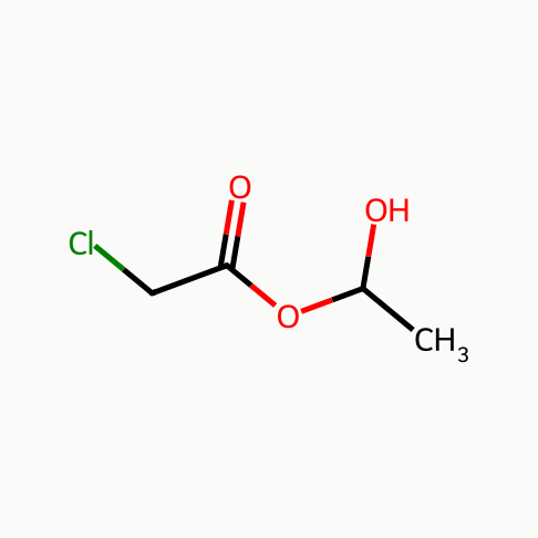 CC(O)OC(=O)CCl